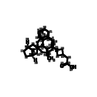 C[C@@H]1CCCC[C@H](C)C[C@@H](N2[C@@H]3CC[C@H]2C[C@@H](n2c(=O)c(N4CC(CC(=O)O)C4)nc4ccccc42)C3)C1